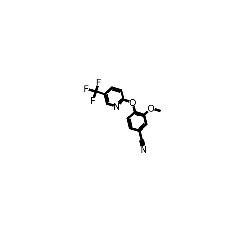 COc1cc(C#N)ccc1Oc1ccc(C(F)(F)F)cn1